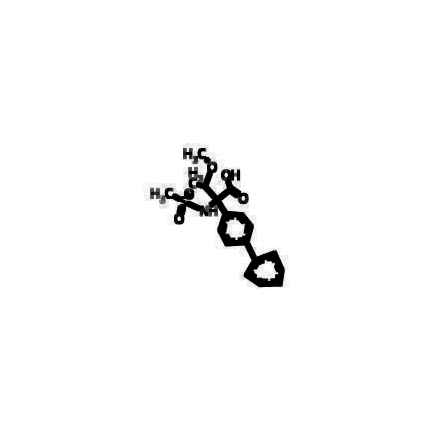 COC(C)C(NS(C)(=O)=O)(C(=O)O)c1ccc(-c2ccccc2)cc1